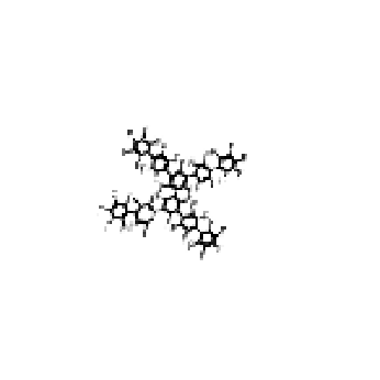 CC1=C(c2c(F)c(F)c(F)c(F)c2F)C(F)=C(F)CC(c2c(F)c(-c3c(F)c(F)c(-c4c(F)c(F)c(F)c(F)c4F)c(F)c3F)c(F)c(-c3c(F)c(-c4c(F)c(F)c(-c5c(F)c(F)c(F)c(F)c5F)c(F)c4F)c(F)c(-c4c(F)c(F)c(-c5c(F)c(F)c(F)c(F)c5F)c(F)c4F)c3F)c2F)=C1F